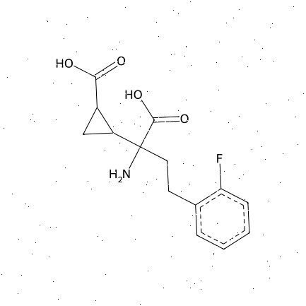 NC(CCc1ccccc1F)(C(=O)O)C1CC1C(=O)O